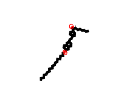 CCCCCCCCCCCCCCCCCCOc1ccc2cc(CCc3ccc(C(=O)[C@H](C)CCCCCC)cc3)ccc2c1